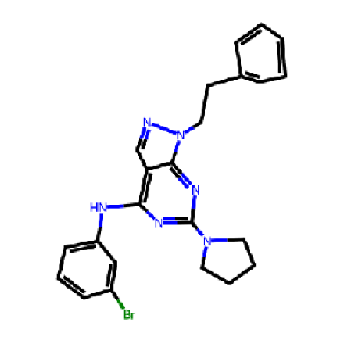 Brc1cccc(Nc2nc(N3CCCC3)nc3c2cnn3CCc2ccccc2)c1